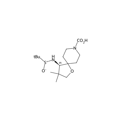 CC1(C)COC2(CCN(C(=O)O)CC2)[C@@H]1N[S+]([O-])C(C)(C)C